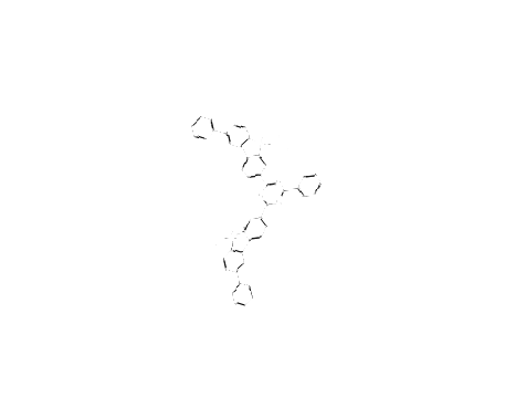 C[Si]1(C)c2ccc(-c3ccccc3)cc2-c2ccc(-c3nc(-c4ccccc4)nc(-c4ccc5c(c4)[Si](C)(C)c4ccc(-c6ccccc6)cc4-5)n3)cc21